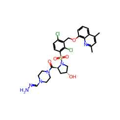 Cc1cc(C)c2cccc(OCc3c(Cl)ccc(S(=O)(=O)N4C[C@H](O)C[C@H]4C(=O)N4CCN(C=NN)CC4)c3Cl)c2n1